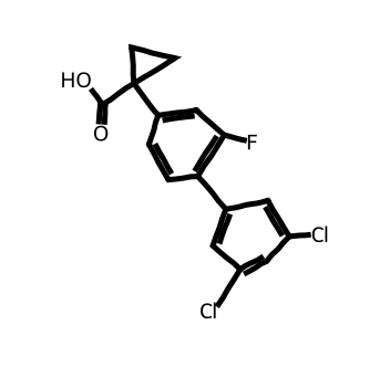 O=C(O)C1(c2ccc(-c3cc(Cl)cc(Cl)c3)c(F)c2)CC1